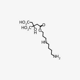 NCCCCNCCCOC(=O)CC(O)(CC(=O)O)C(=O)O